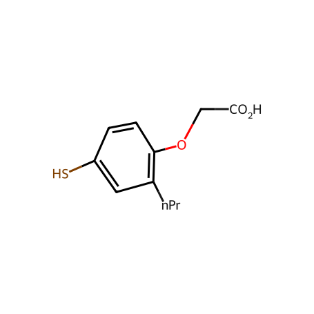 CCCc1cc(S)ccc1OCC(=O)O